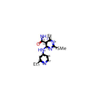 CCc1cc(Nc2nc(SC)nc(CC)c2C(N)=O)ccn1